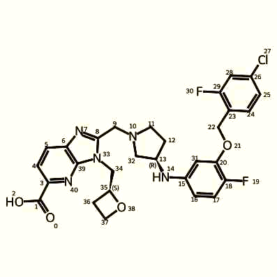 O=C(O)c1ccc2nc(CN3CC[C@@H](Nc4ccc(F)c(OCc5ccc(Cl)cc5F)c4)C3)n(C[C@@H]3CCO3)c2n1